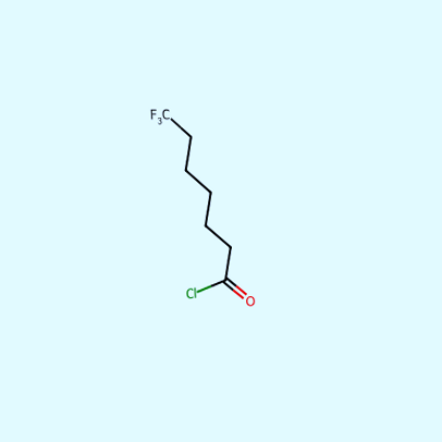 O=C(Cl)CCCCCC(F)(F)F